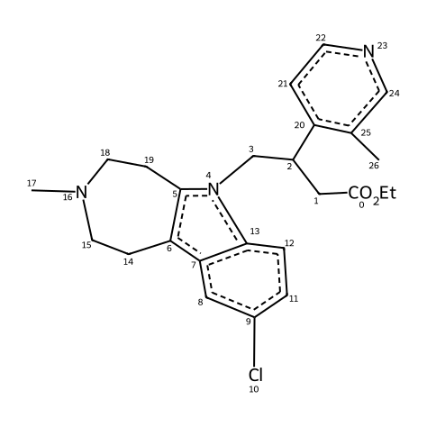 CCOC(=O)CC(Cn1c2c(c3cc(Cl)ccc31)CCN(C)CC2)c1ccncc1C